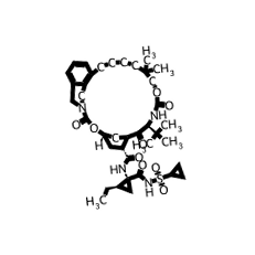 CC[C@@H]1C[C@]1(NC(=O)[C@@H]1C[C@@H]2CC1C(=O)[C@H](C(C)(C)C)NC(=O)OCC(C)(C)CCCCc1cccc3c1CN(C3)C(=O)O2)C(=O)NS(=O)(=O)C1CC1